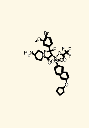 COc1cc(C(F)(F)[C@H](C(=O)N2CCC(N)CC2)N(OC(=O)C(F)(F)F)S(=O)(=O)c2ccc3cc(OC4CCCC4)ccc3c2)ccc1Br